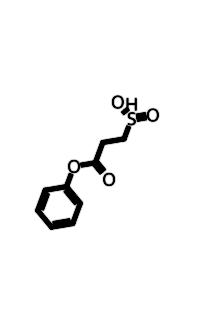 O=C(CC[SH](=O)=O)Oc1ccccc1